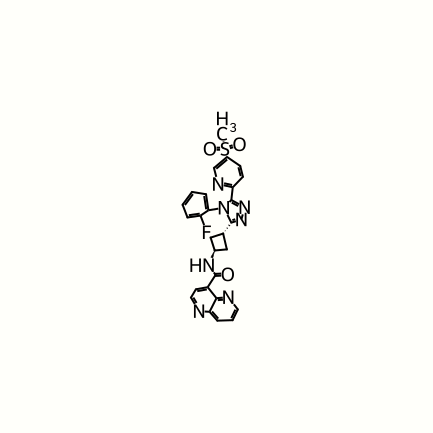 CS(=O)(=O)c1ccc(-c2nnc([C@H]3C[C@H](NC(=O)c4ccnc5cccnc45)C3)n2-c2ccccc2F)nc1